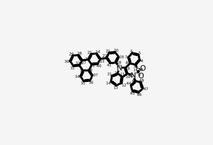 O=S1(=O)c2ccccc2-c2c(c3ccccc3n2-c2cccc(-c3ccc4c5ccccc5c5ccccc5c4c3)c2)N1c1ccccc1